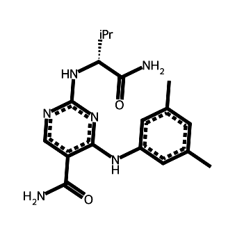 Cc1cc(C)cc(Nc2nc(N[C@@H](C(N)=O)C(C)C)ncc2C(N)=O)c1